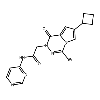 CC(C)c1nn(CC(=O)Nc2ccncn2)c(=O)c2cc(C3CCC3)cn12